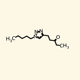 CCCCCn1cc(CCC(=O)CC)nn1